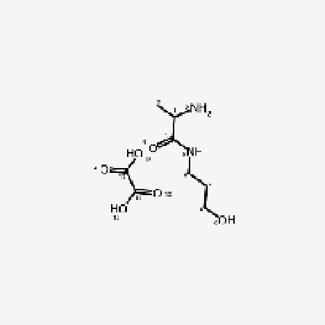 CC(N)C(=O)NCCCO.O=C(O)C(=O)O